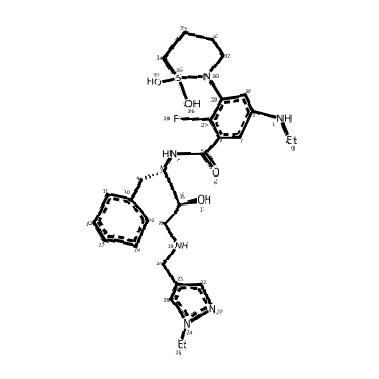 CCNc1cc(C(=O)N[C@@H](Cc2ccccc2)[C@@H](O)CNCc2cnn(CC)c2)c(F)c(N2CCCCS2(O)O)c1